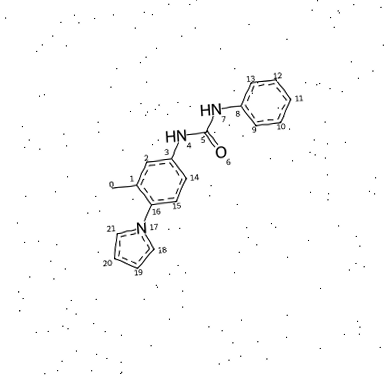 Cc1cc(NC(=O)Nc2ccccc2)ccc1-n1cccc1